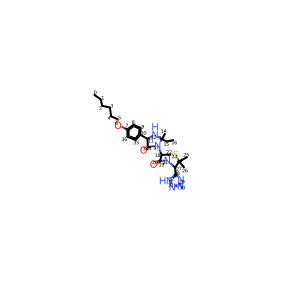 CCCCCCOc1ccc(C2NC(C)(CC)N(C3C(=O)N4C3SC(C)(C)C4c3nnn[nH]3)C2=O)cc1